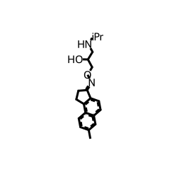 Cc1ccc2c3c(ccc2c1)C(=NOCC(O)CNC(C)C)CC3